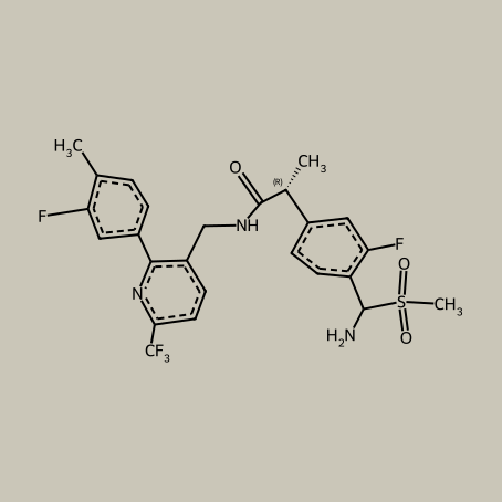 Cc1ccc(-c2nc(C(F)(F)F)ccc2CNC(=O)[C@H](C)c2ccc(C(N)S(C)(=O)=O)c(F)c2)cc1F